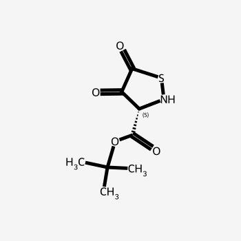 CC(C)(C)OC(=O)[C@H]1NSC(=O)C1=O